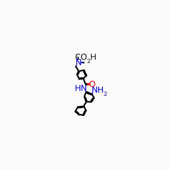 CN(Cc1ccc(C(=O)Nc2cc(-c3ccccc3)ccc2N)cc1)C(=O)O